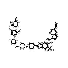 CC(C)(O)c1cc2nn(C3CCC(N4CCN(C[C@@H]5CCN(c6cc(F)c([C@H]7CCC(=O)NC7=O)c(F)c6)C5)CC4)CC3)cc2cc1NC(=O)c1ccc2cc(C#N)cnn12